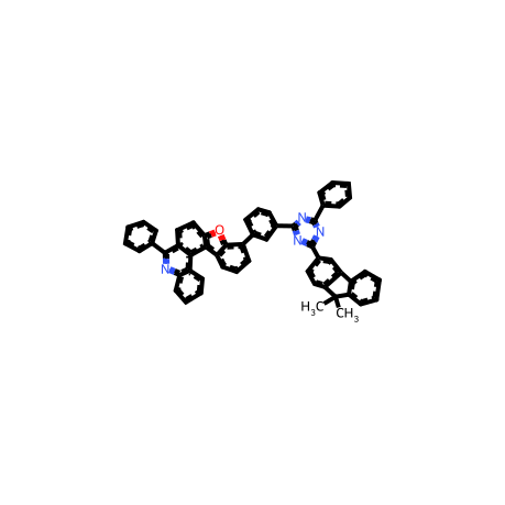 CC1(C)c2ccccc2-c2cc(-c3nc(-c4ccccc4)nc(-c4cccc(-c5cccc6c5oc5ccc7c(-c8ccccc8)nc8ccccc8c7c56)c4)n3)ccc21